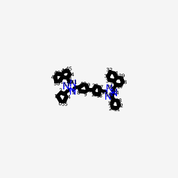 c1ccc(-c2nc(-c3ccc(-c4ccc(-c5nc(-c6ccccc6)nc(-c6cccc7ccccc67)n5)cc4)cc3)nc(-c3cccc4ccccc34)n2)cc1